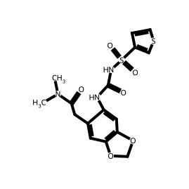 CN(C)C(=O)Cc1cc2c(cc1NC(=O)NS(=O)(=O)c1ccsc1)OCO2